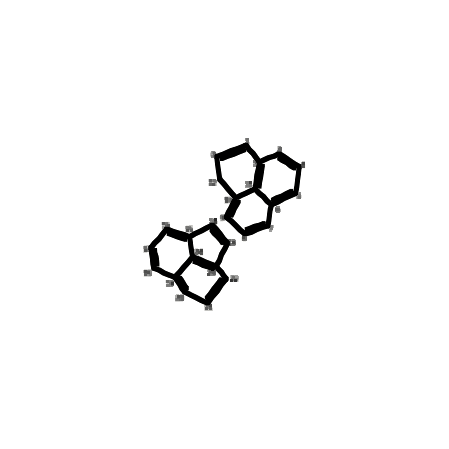 C1=Cc2cccc3cccc(c23)C1.C1=Cc2cccc3cccc1c23